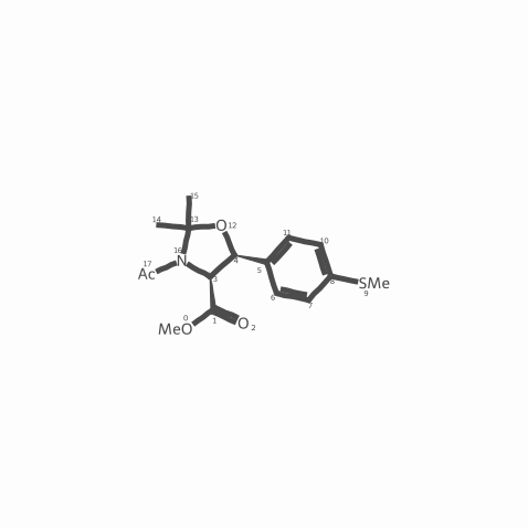 COC(=O)[C@@H]1[C@H](c2ccc(SC)cc2)OC(C)(C)N1C(C)=O